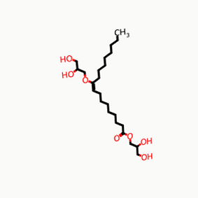 CCCCCCCC/C(=C\CCCCCCCC(=O)OCC(O)CO)OCC(O)CO